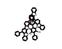 N#Cc1c(-c2ccccc2)c(C#N)c(-n2c3c(ccc4c5ccccc5sc43)c3cc(-c4ccccc4)c4c5ccccc5sc4c32)c(-c2ccccc2)c1-n1c2ccccc2c2ccc(-c3cccc4c3oc3ccccc34)cc21